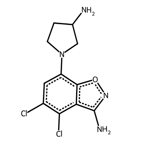 Nc1noc2c(N3CCC(N)C3)cc(Cl)c(Cl)c12